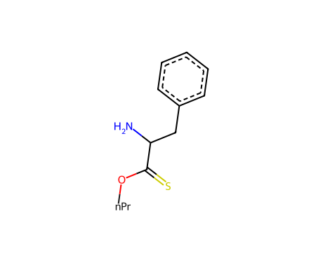 CCCOC(=S)C(N)Cc1ccccc1